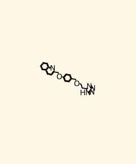 c1ccc2nc(COc3ccc(COCCc4nnn[nH]4)cc3)ccc2c1